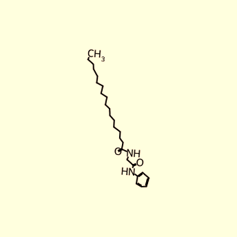 CCCCCCCCCCCCCCCCCC(=O)NCC(=O)Nc1ccccc1